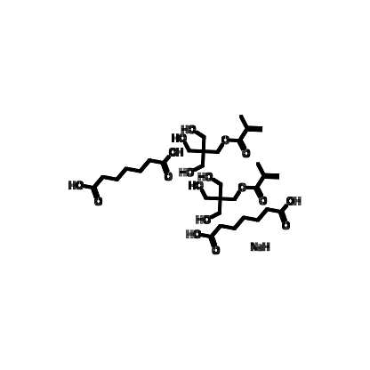 C=C(C)C(=O)OCC(CO)(CO)CO.C=C(C)C(=O)OCC(CO)(CO)CO.O=C(O)CCCCCC(=O)O.O=C(O)CCCCCC(=O)O.[NaH]